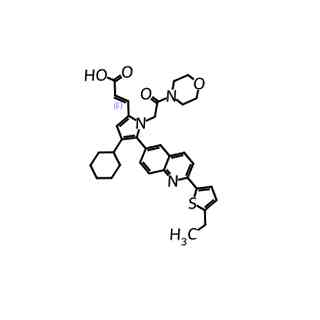 CCc1ccc(-c2ccc3cc(-c4c(C5CCCCC5)cc(/C=C/C(=O)O)n4CC(=O)N4CCOCC4)ccc3n2)s1